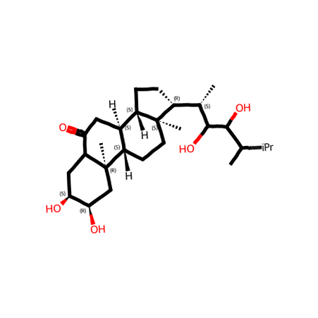 CC(C)C(C)C(O)C(O)[C@@H](C)[C@H]1CC[C@H]2[C@@H]3CC(=O)C4C[C@H](O)[C@H](O)C[C@]4(C)[C@H]3CC[C@]12C